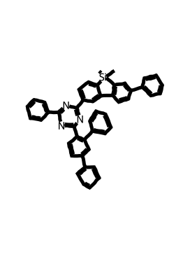 C[Si]1(C)c2ccc(-c3nc(-c4ccccc4)nc(-c4ccc(-c5ccccc5)cc4-c4ccccc4)n3)cc2-c2ccc(-c3ccccc3)cc21